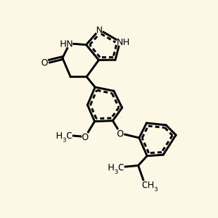 COc1cc(C2CC(=O)Nc3n[nH]cc32)ccc1Oc1ccccc1C(C)C